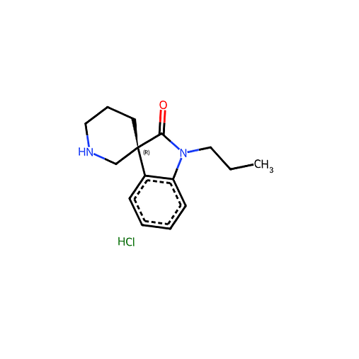 CCCN1C(=O)[C@]2(CCCNC2)c2ccccc21.Cl